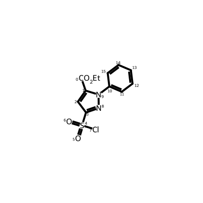 CCOC(=O)c1cc(S(=O)(=O)Cl)nn1-c1ccccc1